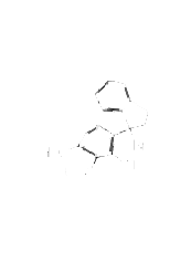 Cc1ccc(C2(Br)CCc3ccccc32)c(C)c1C